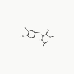 COC(=O)[C@@H](Cc1ccc(N)c(Cl)c1)NC(C)=O